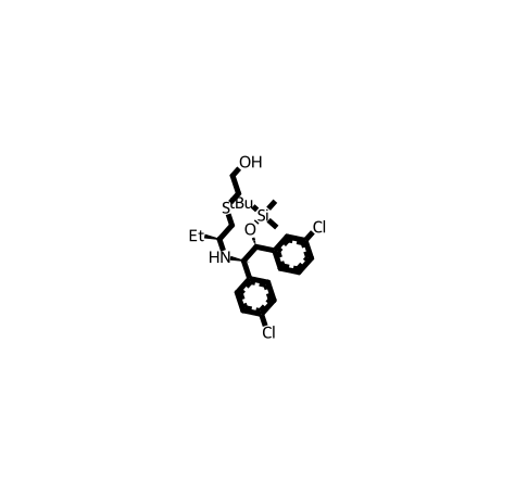 CC[C@@H](CSCCO)N[C@H](c1ccc(Cl)cc1)[C@H](O[Si](C)(C)C(C)(C)C)c1cccc(Cl)c1